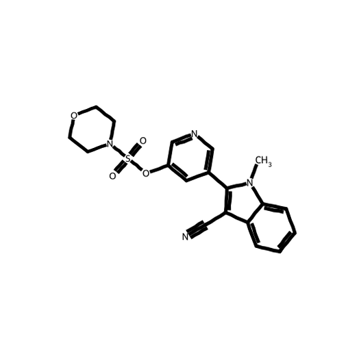 Cn1c(-c2cncc(OS(=O)(=O)N3CCOCC3)c2)c(C#N)c2ccccc21